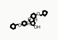 O[C@@H]1C[C@H]2[C@@H](C1)c1cc(OCc3ccccc3)ccc1O[C@H]2c1ccc(OCc2ccccc2)cc1